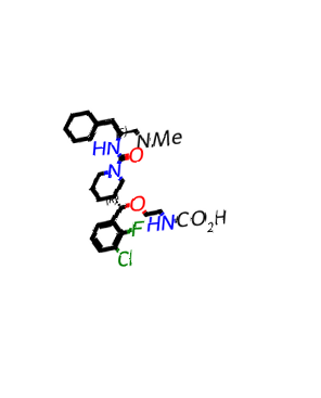 CNC[C@H](CC1CCCCC1)NC(=O)N1CCC[C@@H](C(OCCNC(=O)O)c2cccc(Cl)c2F)C1